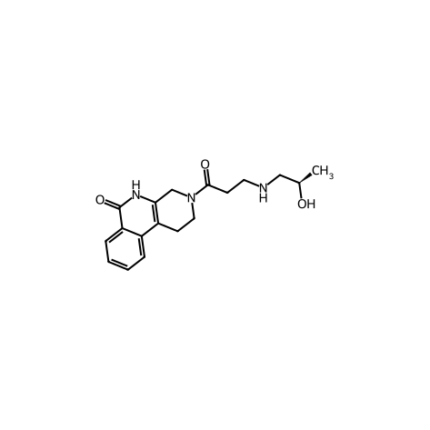 C[C@@H](O)CNCCC(=O)N1CCc2c([nH]c(=O)c3ccccc23)C1